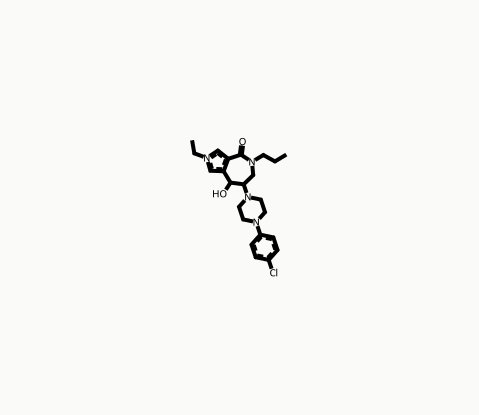 CCCN1CC(N2CCN(c3ccc(Cl)cc3)CC2)C(O)c2cn(CC)cc2C1=O